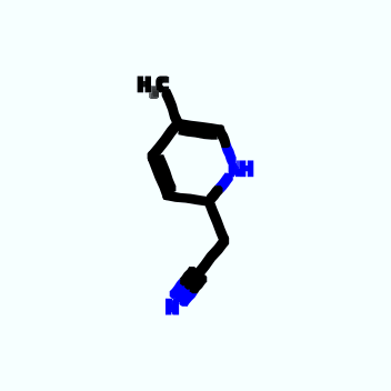 CC1=CNC(CC#N)C=C1